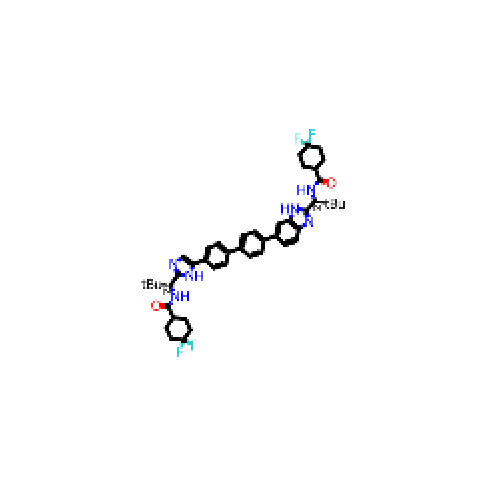 CC(C)(C)[C@H](NC(=O)C1CCC(F)(F)CC1)c1ncc(-c2ccc(-c3ccc(-c4ccc5nc([C@@H](NC(=O)C6CCC(F)(F)CC6)C(C)(C)C)[nH]c5c4)cc3)cc2)[nH]1